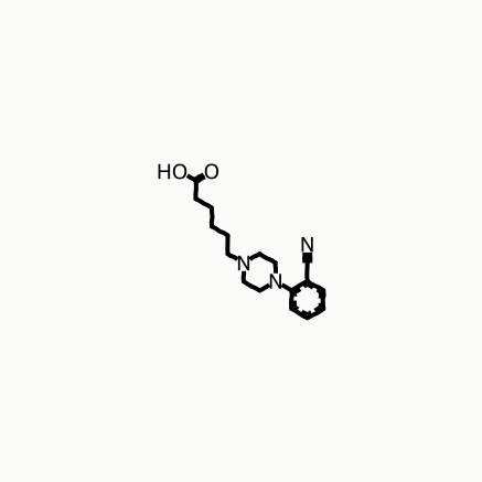 N#Cc1ccccc1N1CCN(CCCCCC(=O)O)CC1